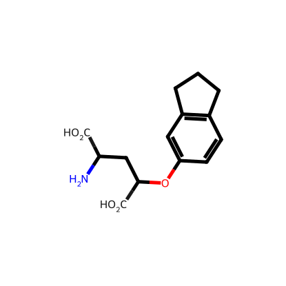 NC(CC(Oc1ccc2c(c1)CCC2)C(=O)O)C(=O)O